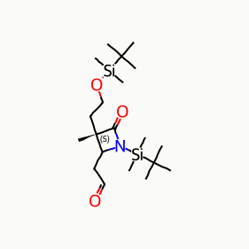 CC(C)(C)[Si](C)(C)OCC[C@]1(C)C(=O)N([Si](C)(C)C(C)(C)C)C1CC=O